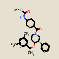 COC(=O)NC1CCC(C(=O)N2CC[C@H](O[C@H](C)c3cc(C(F)(F)F)cc(C(F)(F)F)c3)[C@H](c3ccccc3)C2)CC1